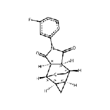 O=C1[C@@H]2[C@@H]3CC[C@@H]([C@H]4C[C@H]43)[C@@H]2C(=O)N1c1cccc(F)c1